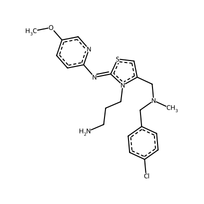 COc1ccc(N=c2scc(CN(C)Cc3ccc(Cl)cc3)n2CCCN)nc1